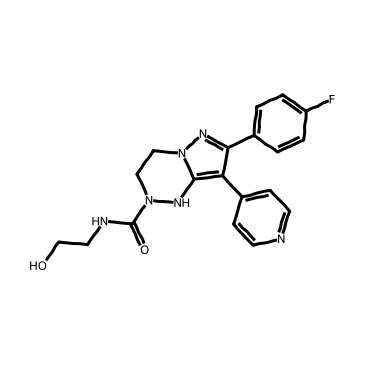 O=C(NCCO)N1CCn2nc(-c3ccc(F)cc3)c(-c3ccncc3)c2N1